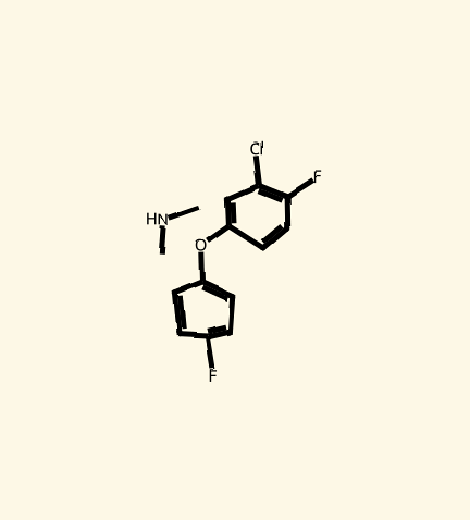 CNC.Fc1ccc(Oc2ccc(F)c(Cl)c2)cc1